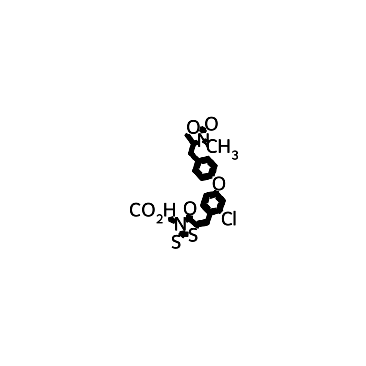 CN1C(=O)OCC1Cc1ccc(Oc2ccc(/C=C3/SC(=S)N(CC(=O)O)C3=O)c(Cl)c2)cc1